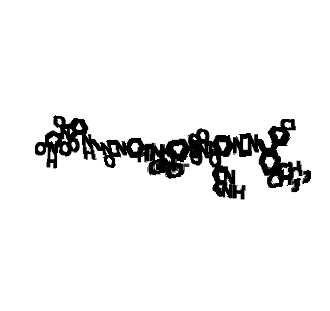 CC1(C)CCC(CN2CCN(c3ccc(C(=O)NS(=O)(=O)c4ccc(NCC5CCC(N6CCN(CCNc7cccc8c7C(=O)N(C7CCC(=O)NC7=O)C8=O)C(=O)C6)CC5)c([N+](=O)[O-])c4)c(Oc4cnc5[nH]ccc5c4)c3)CC2)=C(c2ccc(Cl)cc2)C1